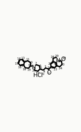 Cl.O=C(CCC1CCN(C2CCc3ccccc3CC2)CC1)c1cc2c3c(c1)CCN3C(=O)CC2